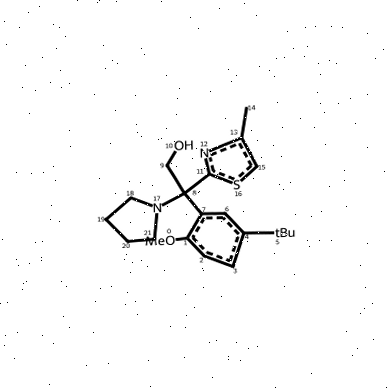 COc1ccc(C(C)(C)C)cc1C(CO)(c1nc(C)cs1)N1CCCC1